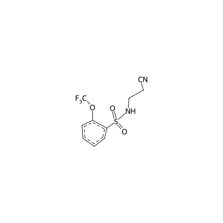 N#CCCNS(=O)(=O)c1ccccc1OC(F)(F)F